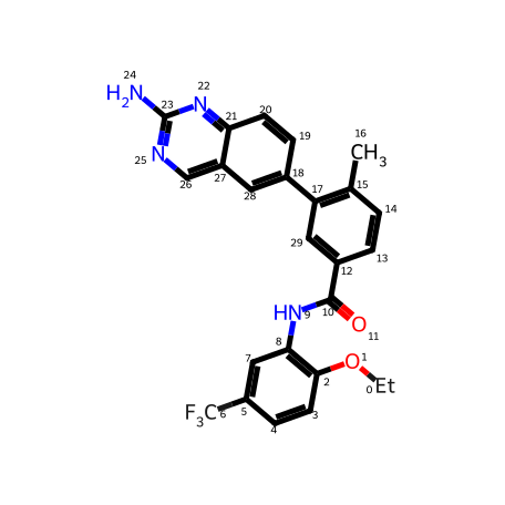 CCOc1ccc(C(F)(F)F)cc1NC(=O)c1ccc(C)c(-c2ccc3nc(N)ncc3c2)c1